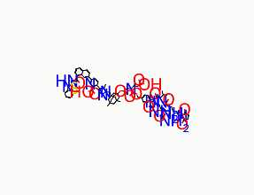 Cc1c(-c2ccc(-c3ccc4cccc(C(=O)Nc5nc6ccccc6s5)c4c3)nc2C(=O)O)cnn1CC12CC3(C)CC(C)(C1)CC(OCCN(CCC(=O)O)C(=O)OCc1ccc(N(C(=O)[C@@H](NC(=O)CCCCCN4C(=O)C=CC4=O)C(C)C)[C@@H](CCCNC(N)=O)C(N)=O)cc1)(C3)C2